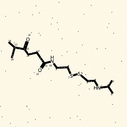 CC(C)NCCSSCCNC(=O)CCC(=O)C(C)C